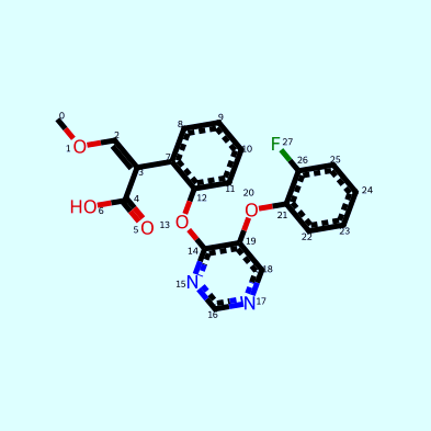 COC=C(C(=O)O)c1ccccc1Oc1ncncc1Oc1ccccc1F